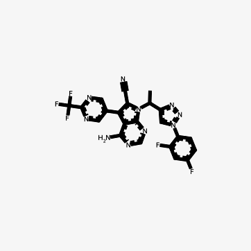 CC(c1cn(-c2ccc(F)cc2F)nn1)n1c(C#N)c(-c2cnc(C(F)(F)F)nc2)c2c(N)ncnc21